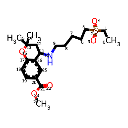 CCS(=O)(=O)CCCCCNC1CC(C)(C)Oc2ccc(C(=O)OC)cc21